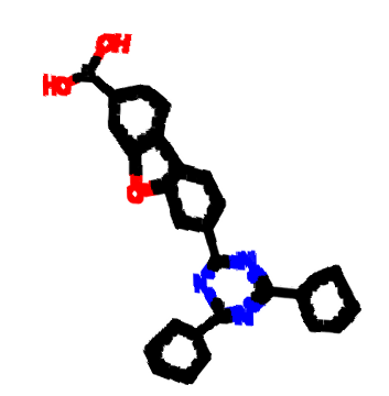 OB(O)c1ccc2c(c1)oc1cc(-c3nc(-c4ccccc4)nc(-c4ccccc4)n3)ccc12